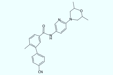 Cc1ccc(C(=O)Nc2ccc(N3CC(C)OC(C)C3)nc2)cc1-c1ccc(C#N)cc1